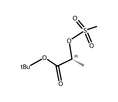 C[C@@H](OS(C)(=O)=O)C(=O)OC(C)(C)C